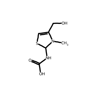 CN1C(CO)=CSC1NC(=O)O